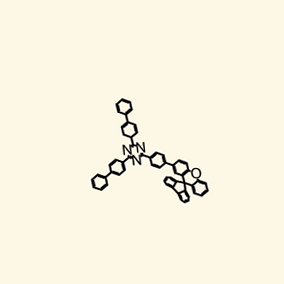 C1=CC(c2nc(-c3ccc(-c4ccccc4)cc3)nc(-c3ccc(-c4ccc5c(c4)C4(c6ccccc6O5)c5ccccc5-c5ccccc54)cc3)n2)CC=C1c1ccccc1